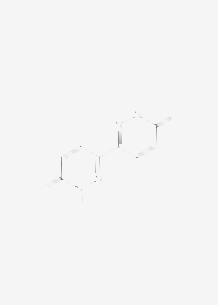 O=c1ccc(-c2ccc(=O)[nH]n2)n[nH]1